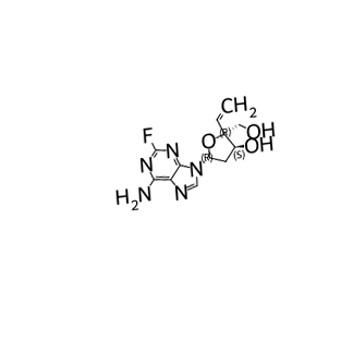 C=C[C@]1(CO)O[C@@H](n2cnc3c(N)nc(F)nc32)C[C@@H]1O